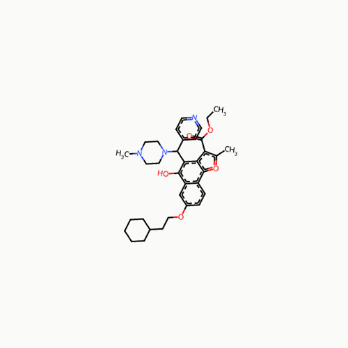 CCOC(=O)c1c(C)oc2c1c(C(c1ccncc1)N1CCN(C)CC1)c(O)c1cc(OCCC3CCCCC3)ccc12